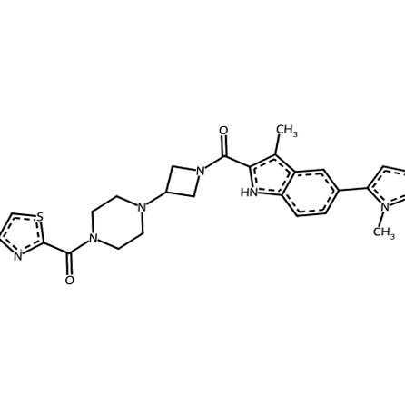 Cc1c(C(=O)N2CC(N3CCN(C(=O)c4nccs4)CC3)C2)[nH]c2ccc(-c3ccnn3C)cc12